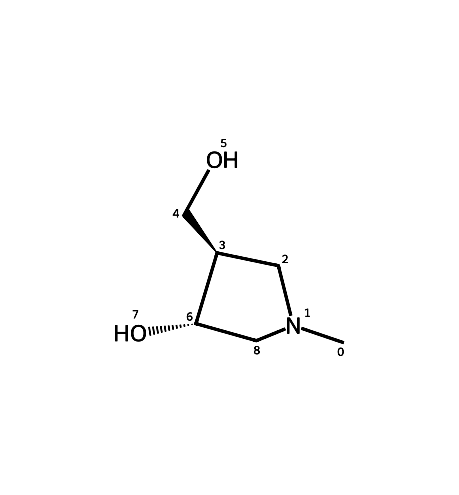 CN1C[C@H](CO)[C@@H](O)C1